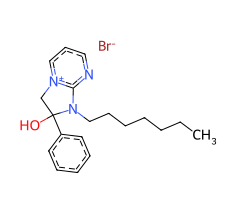 CCCCCCCN1c2nccc[n+]2CC1(O)c1ccccc1.[Br-]